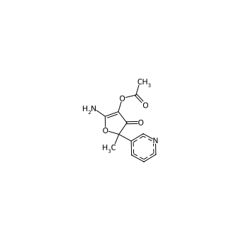 CC(=O)OC1=C(N)OC(C)(c2cccnc2)C1=O